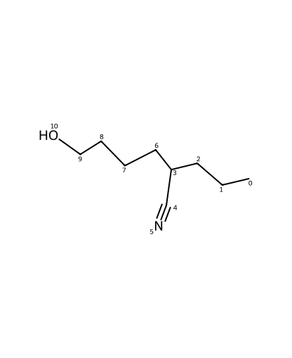 CCCC(C#N)CCCCO